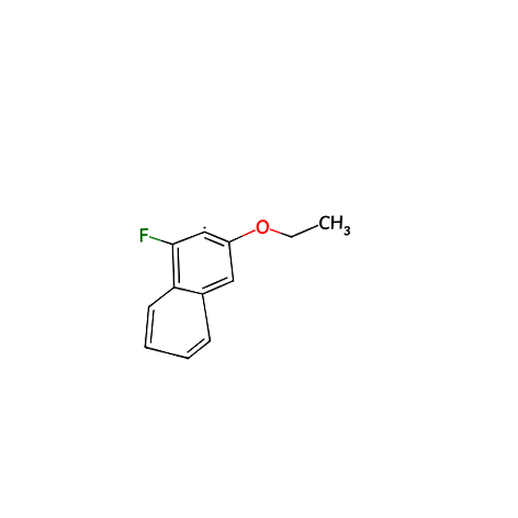 CCOc1[c]c(F)c2ccccc2c1